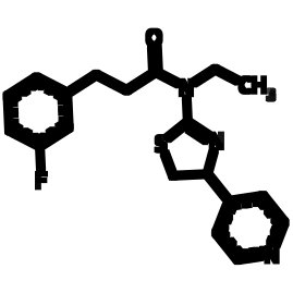 CCN(C(=O)CCc1cccc(F)c1)C1=NC(c2ccncc2)CS1